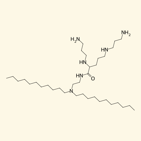 CCCCCCCCCCCN(CCCCCCCCCCC)CCNC(=O)C(CCCNCCCN)NCCCN